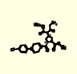 CC(C)(C)OC(=O)N1C[C@H](N(C(=O)CN)C(=O)OC(C)(C)C)C[C@H]1C(=O)N1CCN(c2ccc(Cl)cc2)CC1